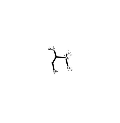 CCCCC(OC)[SiH](C)C